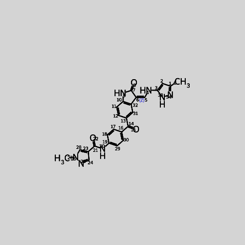 Cc1cc(N/C=C2\C(=O)Nc3ccc(C(=O)c4ccc(NC(=O)c5cnn(C)c5)cc4)cc32)[nH]n1